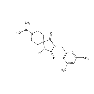 CCN1C(=O)N(Cc2cc(C)cc(C)c2)C(=O)C12CCN(B(C)O)CC2